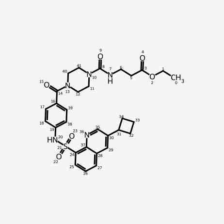 CCOC(=O)CCNC(=O)N1CCN(C(=O)c2ccc(NS(=O)(=O)c3cccc4cc(C5CCC5)cnc34)cc2)CC1